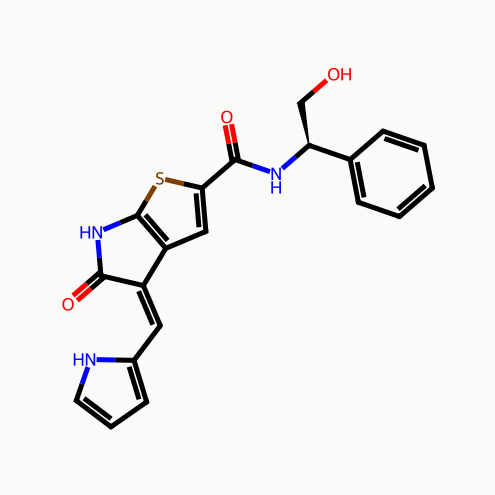 O=C1Nc2sc(C(=O)N[C@@H](CO)c3ccccc3)cc2C1=Cc1ccc[nH]1